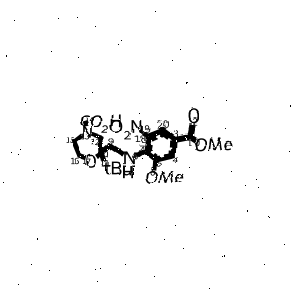 COC(=O)c1cc(OC)c(NCC2(C(C)(C)C)CN(C(=O)O)CCO2)c([N+](=O)[O-])c1